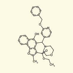 CCOC(=O)c1c(C)oc2c1c(C(c1ccnc(OCc3ccccc3)c1)N1CCOCC1)c(O)c1ccccc12